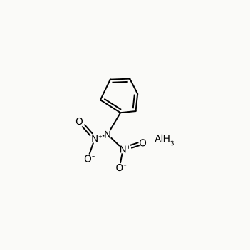 O=[N+]([O-])N(c1ccccc1)[N+](=O)[O-].[AlH3]